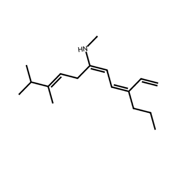 C=C/C(=C\C=C(/C/C=C(\C)C(C)C)NC)CCC